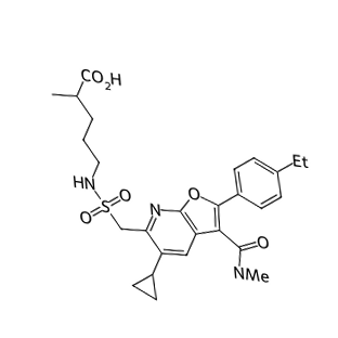 CCc1ccc(-c2oc3nc(CS(=O)(=O)NCCCC(C)C(=O)O)c(C4CC4)cc3c2C(=O)NC)cc1